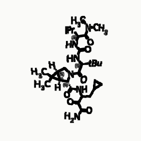 CC(C)[C@H](NC(=O)N[C@H](C(=O)N1C[C@H]2[C@@H]([C@H]1C(=O)NC(CC1CC1)C(=O)C(N)=O)C2(C)C)C(C)(C)C)C(=O)N(C)C